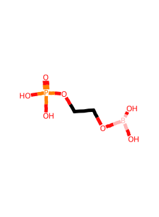 O=P(O)(O)OCCOB(O)O